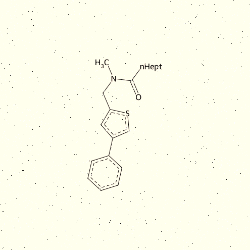 CCCCCCCC(=O)N(C)Cc1cc(-c2[c]cccc2)cs1